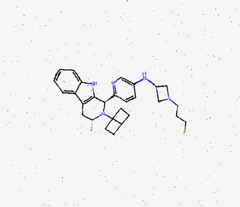 C[C@@H]1Cc2c([nH]c3ccccc23)[C@@H](c2ccc(NC3CN(CCCF)C3)cn2)N1C12CCC1CC2